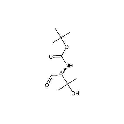 CC(C)(C)OC(=O)N[C@H](C=O)C(C)(C)O